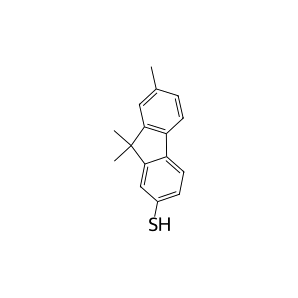 Cc1ccc2c(c1)C(C)(C)c1cc(S)ccc1-2